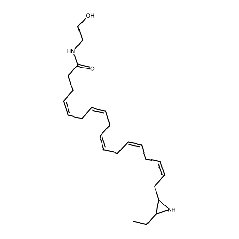 CCC1NC1C/C=C\C/C=C\C/C=C\C/C=C\C/C=C\CCC(=O)NCCO